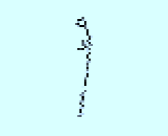 CCCCCCCCCCCCCCCCCCn1cc(CCCc2ccccc2)nc1CC